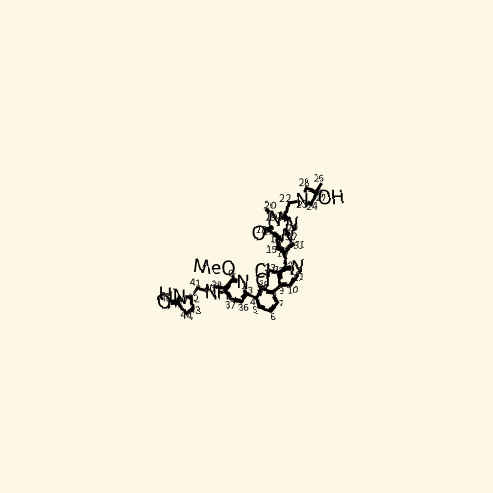 COc1nc(-c2cccc(-c3ccnc(-c4cc5c(=O)n(C)c(CN6CC(C)(O)C6)nn5c4)c3Cl)c2Cl)ccc1CNC[C@H]1CCC(=O)N1